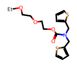 [CH2]COCCOCCOC(=O)N(Cc1cccs1)Cc1cccs1